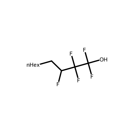 CCCCCCCC(F)C(F)(F)C(O)(F)F